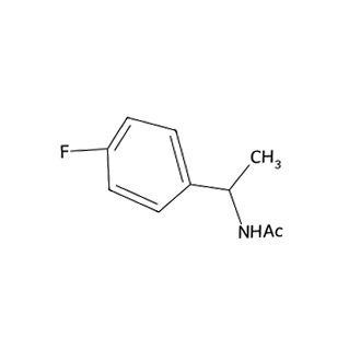 CC(=O)NC(C)c1ccc(F)cc1